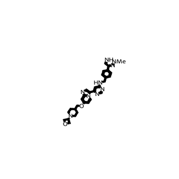 CN/N=C(\C=N)c1ccc(CNc2cc(-c3cnc4cc(OCC5CCN(C6COC6)CC5)ccn34)ncn2)cc1